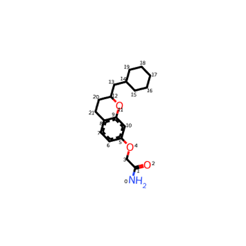 NC(=O)COc1ccc2c(c1)OC(CC1CCCCC1)CC2